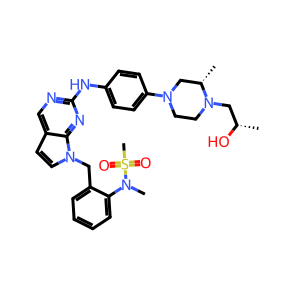 C[C@H](O)CN1CCN(c2ccc(Nc3ncc4ccn(Cc5ccccc5N(C)S(C)(=O)=O)c4n3)cc2)C[C@@H]1C